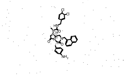 CN(C(=O)NCC1=CC(Cl)C(Cl)C=C1)N1CC(=O)N2[C@@H](Cc3ccc(N)cc3)C(=O)N(Cc3cccc4ccccc34)C[C@@H]21